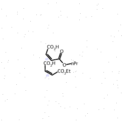 CCCOC(=O)/C=C\C(=O)O.CCOC(=O)/C=C\C(=O)O